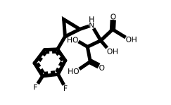 O=C(O)C(O)C(O)(NC1CC1c1ccc(F)c(F)c1)C(=O)O